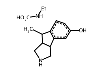 CC1c2ccc(O)cc2C2CNCC12.CCNC(=O)O